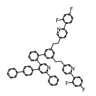 Fc1ccc(-c2ccc(CCc3cc(CCc4ccc(-c5ccc(F)cc5F)nc4)cc(-c4ccccc4-c4cnc(-c5ccccc5)cc4-c4ccc(-c5ccccc5)cc4)c3)cn2)c(F)c1